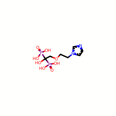 O=P(O)(O)C(O)(COCCn1ccnc1)P(=O)(O)O